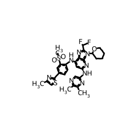 Cc1csc(-c2ccc(Nc3cc(Nc4cnc(C)c(C)n4)nc4c3nc(C(F)F)n4C3CCCCO3)c(S(C)(=O)=O)c2)n1